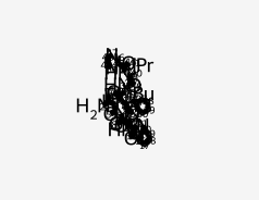 CCC(N)CC(=O)N(C(=O)C(=O)NS(=O)(=O)c1ccccc1[N+](=O)[O-])C(=O)[C@H](CC1CCCCC1)NC(=O)[C@@H](NC(=O)[C@H](CC(C)C)NC(=O)c1cnccn1)[C@@H](C)CC